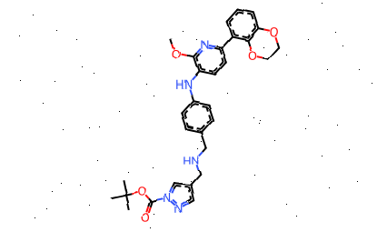 COc1nc(-c2cccc3c2OCCO3)ccc1Nc1ccc(CNCc2cnn(C(=O)OC(C)(C)C)c2)cc1